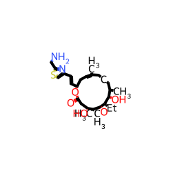 CCC1C(=O)C(C)(C)C(O)CC(=O)OC(C=Cc2csc(CN)n2)CC=C(C)CCCC(C)C1O